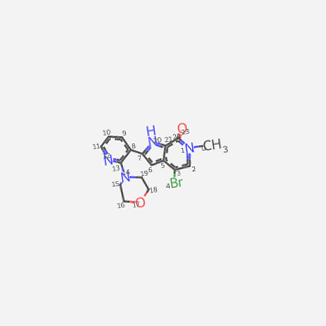 Cn1cc(Br)c2cc(-c3cccnc3N3CCOCC3)[nH]c2c1=O